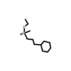 CCO[Si](C)(C)CCC[C]1CCCCC1